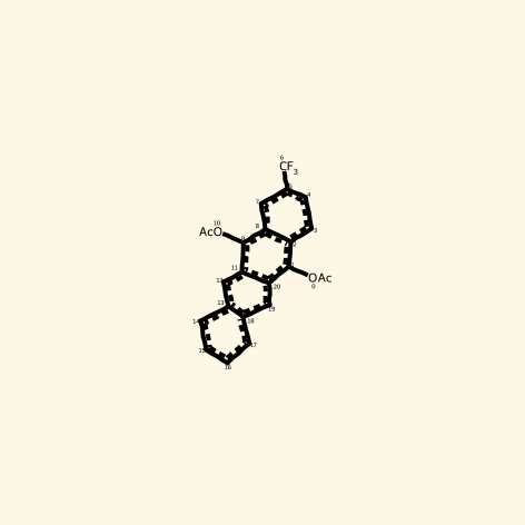 CC(=O)Oc1c2ccc(C(F)(F)F)cc2c(OC(C)=O)c2cc3ccccc3cc12